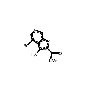 CNC(=O)c1sc2cncc(Br)c2c1C